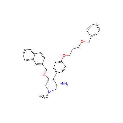 NC1CN(C(=O)O)CC(OCc2ccc3ccccc3c2)C1c1ccc(OCCCOCc2ccccc2)cc1